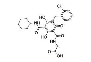 O=C(O)CNC(=O)c1c(O)c(C(=O)NC2CCCCC2)c(O)n(Cc2ccccc2Cl)c1=O